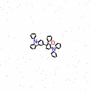 c1ccc(N(c2ccccc2)c2ccc(-c3ccc4c(c3)c3ccccc3n4-c3ccccc3)c3c2oc2ccccc23)cc1